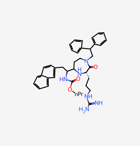 CCCOC(=O)NC(Cc1ccc2ccccc2c1)C1CCN(CC(c2ccccc2)c2ccccc2)C(=O)[C@H](CCCNC(=N)N)N1